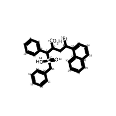 CCC(CC(C(=O)O)C(c1ccccc1)P(=O)(O)Cc1ccccc1)c1cccc2ccccc12